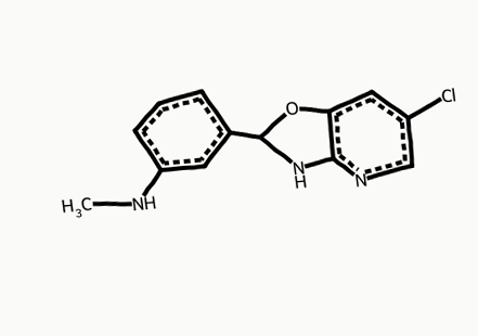 CNc1cccc(C2Nc3ncc(Cl)cc3O2)c1